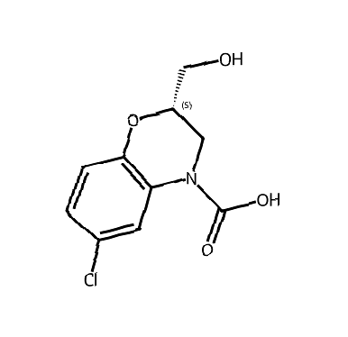 O=C(O)N1C[C@@H](CO)Oc2ccc(Cl)cc21